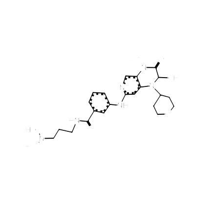 CC1C(=O)N(C)c2cnc(Nc3cccc(C(=O)NCCCN(C)C)c3)cc2N1C1CCOCC1